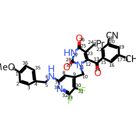 COc1ccc(CNc2cc(Cn3c(C(=O)c4cc(C)cc(C#N)c4)c(C(C)C)c(=O)[nH]c3=O)c(F)c(F)n2)cc1